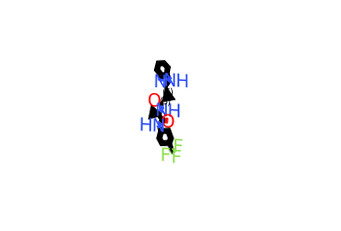 O=C(NC1(C(=O)Nc2ccc(C(F)(F)F)cc2)CC1)[C@H]1C[C@@H]1c1nc2ccccc2[nH]1